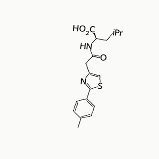 Cc1ccc(-c2nc(CC(=O)N[C@H](CC(C)C)C(=O)O)cs2)cc1